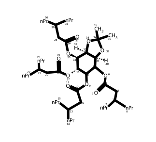 CCCC(CCC)CC(=O)OC1C(OC(=O)CC(CCC)CCC)[C@H](OC(=O)CC(CCC)CCC)[C@@H](OC(=O)CC(CCC)CCC)[C@H]2OC(C)(C)O[C@@H]12